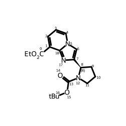 CCOC(=O)c1cccn2cc([C@H]3CCCN3C(=O)OC(C)(C)C)nc12